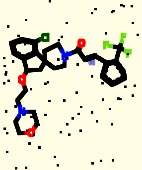 O=C(/C=C/c1ccccc1C(F)(F)F)N1CCC2(CC1)CC(OCCN1CCOCC1)c1cccc(Cl)c12